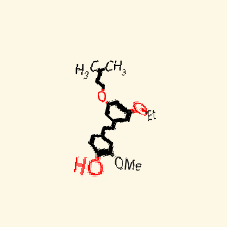 CCOc1cc(C=Cc2ccc(O)c(OC)c2)cc(OCC=C(C)C)c1